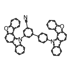 N#Cc1cc(-c2ccc(-n3c4ccccc4c4ccc5oc6ccccc6c5c43)cc2)cc(-n2c3ccccc3c3ccc4oc5ccccc5c4c32)c1